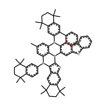 Cc1cc2c3c(c1)N(c1ccc4c(c1)C(C)(C)CCC4(C)C)c1c(sc4cc5c(cc14)C(C)(C)CCC5(C)C)B3c1cc3oc4ccccc4c3cc1N2c1cc2c(cc1-c1ccccc1)C(C)(C)CCC2(C)C